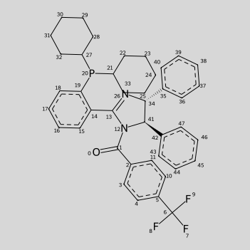 O=C(c1ccc(C(F)(F)F)cc1)N1C(c2ccccc2P(C2CCCCC2)C2CCCCC2)=N[C@H](c2ccccc2)[C@H]1c1ccccc1